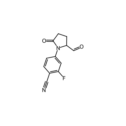 N#Cc1ccc(N2C(=O)CCC2C=O)cc1F